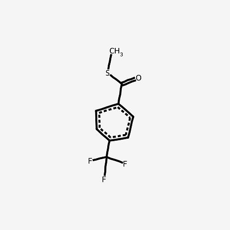 CSC(=O)c1ccc(C(F)(F)F)cc1